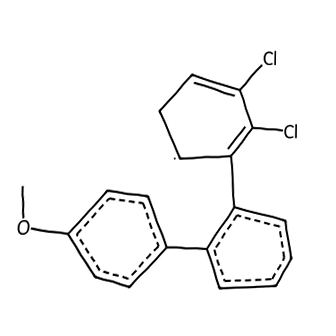 COc1ccc(-c2ccccc2C2=C(Cl)C(Cl)=CC[CH]2)cc1